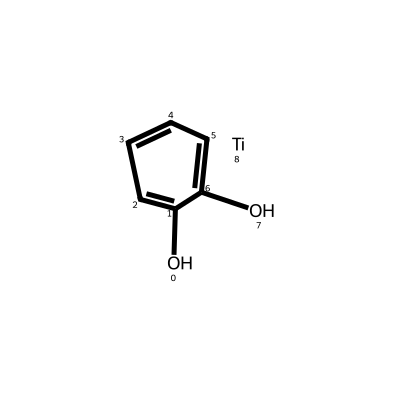 Oc1ccccc1O.[Ti]